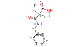 CCC(CC)(C(=O)O)C(=O)NCc1ccccc1